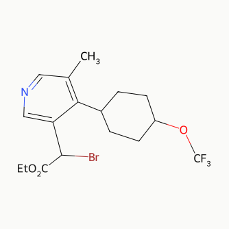 CCOC(=O)C(Br)c1cncc(C)c1C1CCC(OC(F)(F)F)CC1